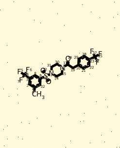 Cc1cc(C(F)(F)F)cc(S(=O)(=O)N2CCN(C(=O)Cc3ccc(C(F)(F)F)cc3)CC2)c1